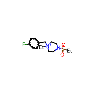 CC[N+]1(Cc2ccc(F)cc2)CCN(S(=O)(=O)CC)CC1